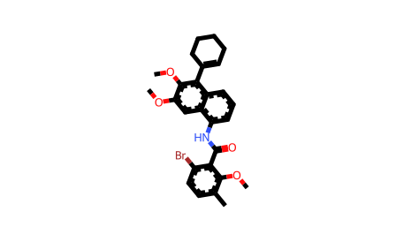 COc1cc2c(NC(=O)c3c(Br)ccc(C)c3OC)cccc2c(C2=CCCCC2)c1OC